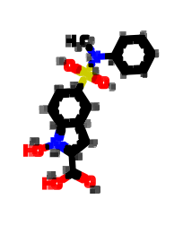 CN(c1ccccc1)S(=O)(=O)c1ccc2c(c1)cc(C(=O)O)n2O